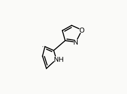 [c]1cc[nH]c1-c1ccon1